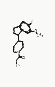 CCC(=O)N1CCC(C2CCc3cc(F)c(OC)cc32)CC1